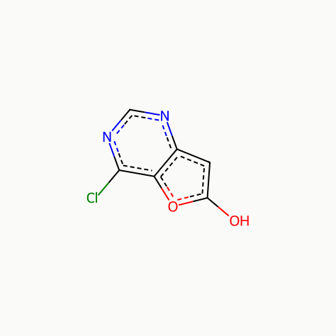 Oc1cc2ncnc(Cl)c2o1